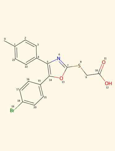 Cc1ccc(-c2nc(SCC(=O)O)oc2-c2ccc(Br)cc2)cc1